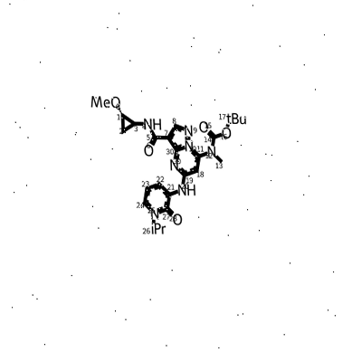 CO[C@H]1CC1NC(=O)c1cnn2c(N(C)C(=O)OC(C)(C)C)cc(Nc3cccn(C(C)C)c3=O)nc12